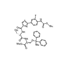 COC(=O)[C@H](CO[Si](c1ccccc1)(c1ccccc1)C(C)(C)C)NC(=O)[C@H](CO)NC(=O)c1csc(-c2ccc(NC(=O)OC(C)(C)C)c(F)c2)n1